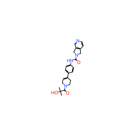 CC(C)(O)C(=O)N1CC=C(c2ccc(NC(=O)N3Cc4ccncc4C3)cc2)CC1